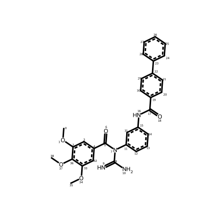 COc1cc(C(=O)N(C(=N)N)c2cccc(NC(=O)c3ccc(-c4ccccc4)cc3)c2)cc(OC)c1OC